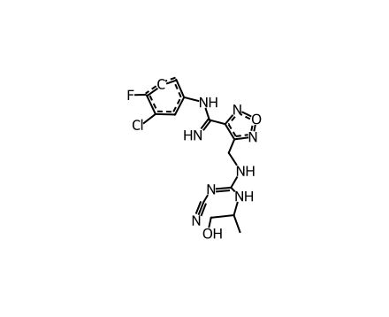 CC(CO)NC(=NC#N)NCc1nonc1C(=N)Nc1ccc(F)c(Cl)c1